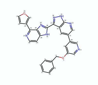 c1ccc(COc2cncc(-c3cnc4[nH]nc(-c5nc6c(-c7ccoc7)nccc6[nH]5)c4c3)c2)cc1